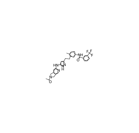 CC(=O)N1Cc2cnc(Nc3cc(CCc4cc(NC(=O)c5cccc(C(F)(F)F)c5)ccc4C)n[nH]3)cc2C1